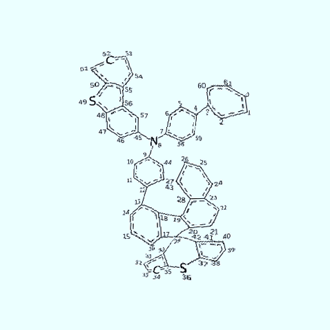 c1ccc(-c2ccc(N(c3ccc(-c4cccc5c4-c4c(ccc6ccccc46)C54c5ccccc5Sc5ccccc54)cc3)c3ccc4sc5ccccc5c4c3)cc2)cc1